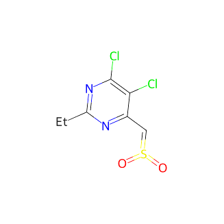 CCc1nc(Cl)c(Cl)c(C=S(=O)=O)n1